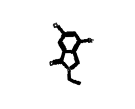 CCN1Cc2c(Br)cc(Cl)cc2C1=O